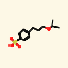 CC(C)OCCCc1ccc(S(=O)(=O)O)cc1